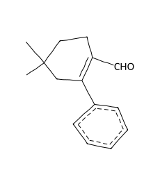 CC1(C)CCC(C=O)=C(c2ccccc2)C1